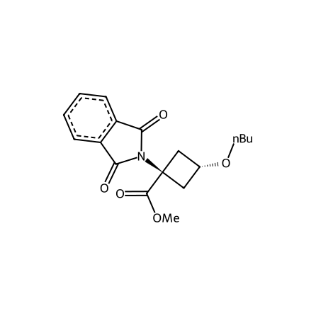 CCCCO[C@H]1C[C@](C(=O)OC)(N2C(=O)c3ccccc3C2=O)C1